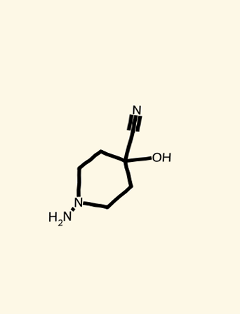 N#CC1(O)CCN(N)CC1